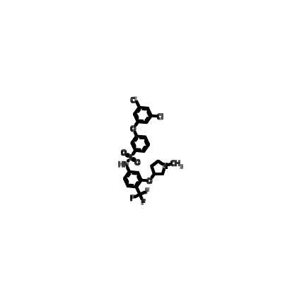 CN1CCC(Oc2cc(NS(=O)(=O)c3cccc(Oc4cc(Cl)cc(Cl)c4)c3)ccc2C(F)(F)F)C1